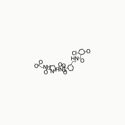 COC(=O)CNC(=O)c1ccc(C(=O)NS(=O)(=O)c2cccc(CCNC(=O)c3cc(OC)ccc3Cl)c2)cn1